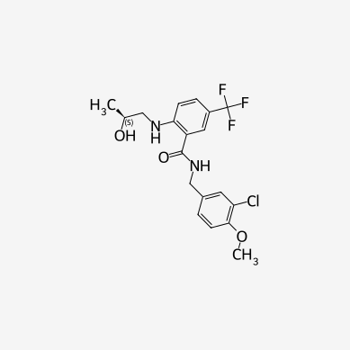 COc1ccc(CNC(=O)c2cc(C(F)(F)F)ccc2NC[C@H](C)O)cc1Cl